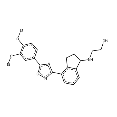 CCOc1ccc(-c2nc(-c3cccc4c3CCC4NCCO)no2)cc1OCC